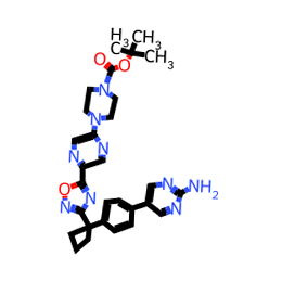 CC(C)(C)OC(=O)N1CCN(c2cnc(-c3nc(C4(c5ccc(-c6cnc(N)nc6)cc5)CCC4)no3)cn2)CC1